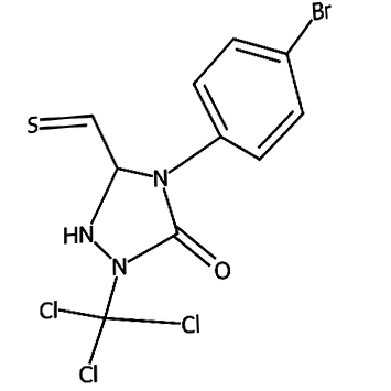 O=C1N(c2ccc(Br)cc2)C(C=S)NN1C(Cl)(Cl)Cl